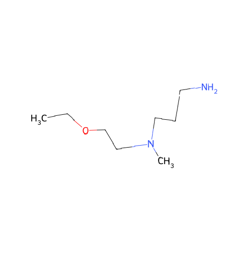 CCOCCN(C)CCCN